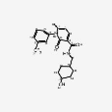 Cc1ccc(C(=O)NCC2CCC(C#N)CC2)c(=O)n1-c1cccc(C(F)(F)F)c1